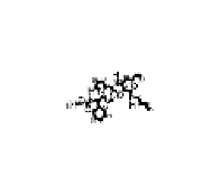 C=CCCNC(=O)C(=O)C(CCC=C)NC(=O)[C@@H]1CCCN1C(=O)C(NC(=O)OC(C)C)C1CCCCC1